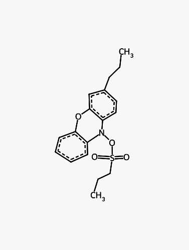 CCCc1ccc2c(c1)Oc1ccccc1N2OS(=O)(=O)CCC